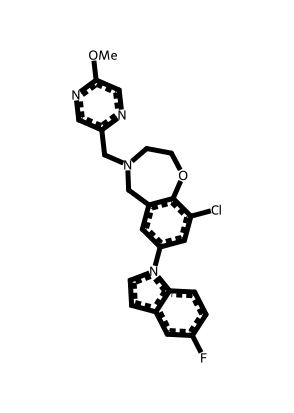 COc1cnc(CN2CCOc3c(Cl)cc(-n4ccc5cc(F)ccc54)cc3C2)cn1